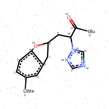 COc1ccc2c(c1)CC(CC(C(=O)C(C)(C)C)n1cncn1)O2